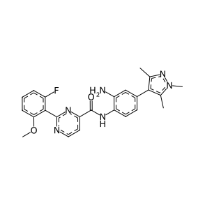 COc1cccc(F)c1-c1nccc(C(=O)Nc2ccc(-c3c(C)nn(C)c3C)cc2N)n1